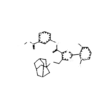 COC(=O)c1cccc(NC(=O)c2nc(-c3c(Cl)cccc3Cl)[nH]c2COC23CC4CC(CC(C4)C2)C3)c1